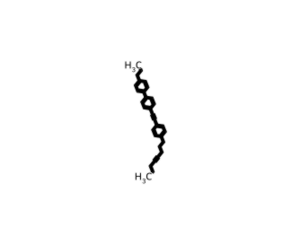 CCCC#CCCCc1ccc(C#Cc2ccc(-c3ccc(CCC)cc3)cc2)cc1